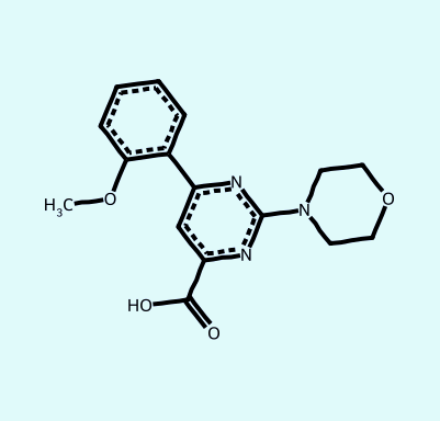 COc1ccccc1-c1cc(C(=O)O)nc(N2CCOCC2)n1